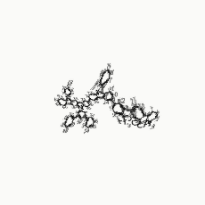 CC1(C)c2ccccc2-c2ccc3c(oc4ccc(-c5ccc6c(c5)c5cc(-c7ccc8c(c7)c7cc9c(cc7n8-c7cc(-c8ccccc8)cc(-c8ccccc8)c7)c7ccccc7n9-c7ccccc7)ccc5n6-c5ccccc5)cc43)c21